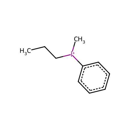 CCC[I+](C)c1ccccc1